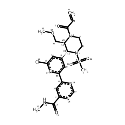 C=CC(=O)N1CCN(S(C)(=O)=O)[C@H](c2cc(Cl)nc(-c3cc(C(=O)NC)ncn3)c2)[C@H]1COC